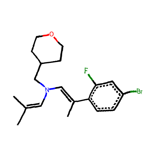 CC(C)=CN(/C=C(\C)c1ccc(Br)cc1F)CC1CCOCC1